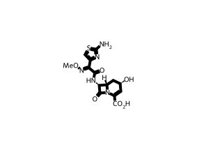 CON=C(C(=O)N[C@H]1C(=O)N2C(C(=O)O)=C[C@@H](O)C[C@@H]12)c1csc(N)n1